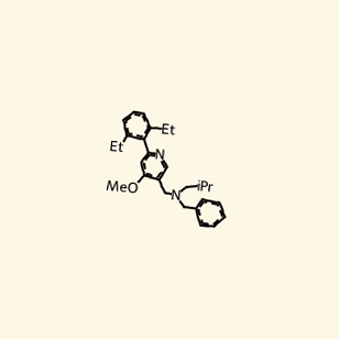 CCc1cccc(CC)c1-c1cc(OC)c(CN(Cc2ccccc2)CC(C)C)cn1